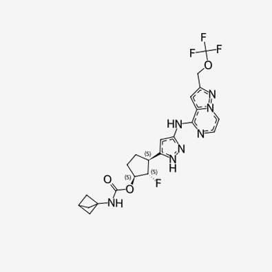 O=C(NC12CC(C1)C2)O[C@H]1CC[C@@H](c2cc(Nc3nccn4nc(COC(F)(F)F)cc34)n[nH]2)[C@@H]1F